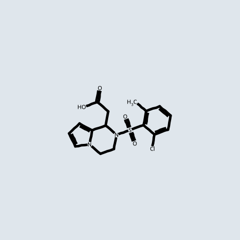 Cc1cccc(Cl)c1S(=O)(=O)N1CCn2cccc2C1CC(=O)O